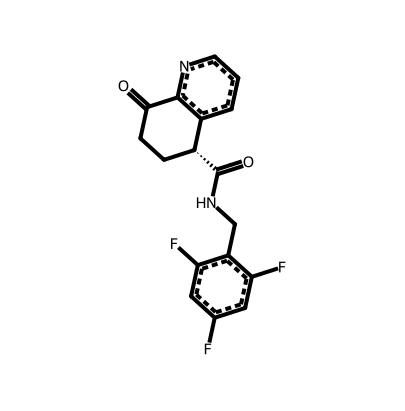 O=C1CC[C@@H](C(=O)NCc2c(F)cc(F)cc2F)c2cccnc21